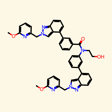 COc1cccc(Cn2cc3c(-c4cccc(C(=O)N(CCO)c5cccc(-c6cccc7nn(Cc8cccc(OC)n8)cc67)c5)c4)cccc3n2)n1